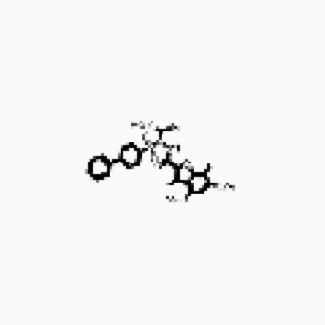 COc1cc(OC)c2c(C)c(C(=O)NN(C(C(=O)O)C(C)C)S(=O)(=O)c3ccc(-c4ccccc4)cc3)oc2c1C